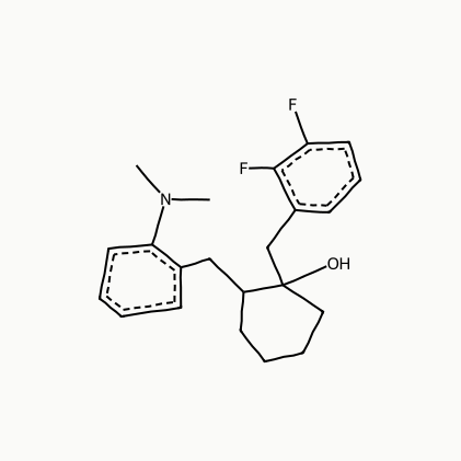 CN(C)c1ccccc1CC1CCCCC1(O)Cc1cccc(F)c1F